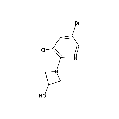 OC1CN(c2ncc(Br)cc2Cl)C1